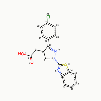 O=C(O)CC1CN(c2nc3ccccc3s2)N=C1c1ccc(Cl)cc1